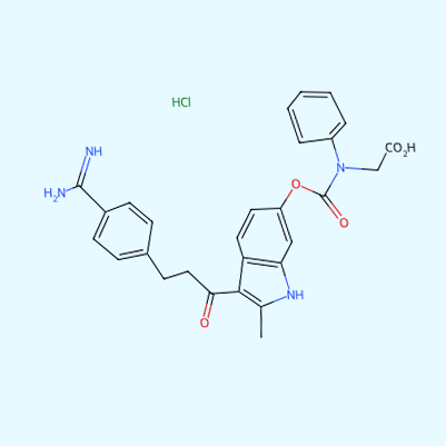 Cc1[nH]c2cc(OC(=O)N(CC(=O)O)c3ccccc3)ccc2c1C(=O)CCc1ccc(C(=N)N)cc1.Cl